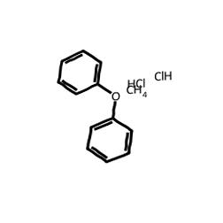 C.Cl.Cl.c1ccc(Oc2ccccc2)cc1